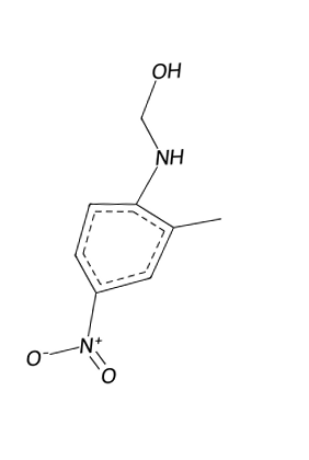 Cc1cc([N+](=O)[O-])ccc1NCO